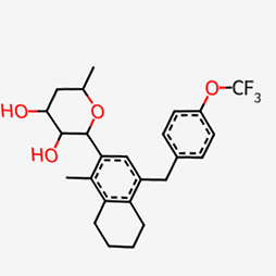 Cc1c(C2OC(C)CC(O)C2O)cc(Cc2ccc(OC(F)(F)F)cc2)c2c1CCCC2